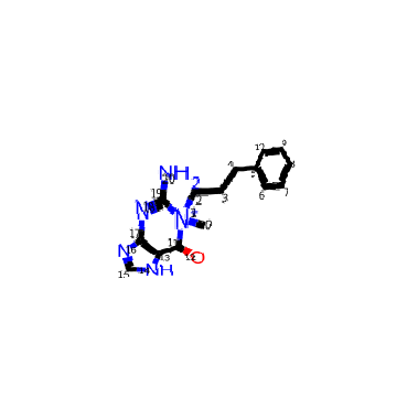 C[N+]1(CCCc2ccccc2)C(=O)c2[nH]cnc2N=C1N